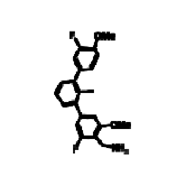 COc1ccc(-c2cccc(-c3cc(F)c(CN)c(OC)c3)c2C)cc1F